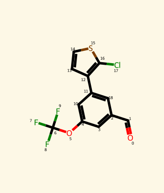 O=Cc1cc(OC(F)(F)F)cc(-c2ccsc2Cl)c1